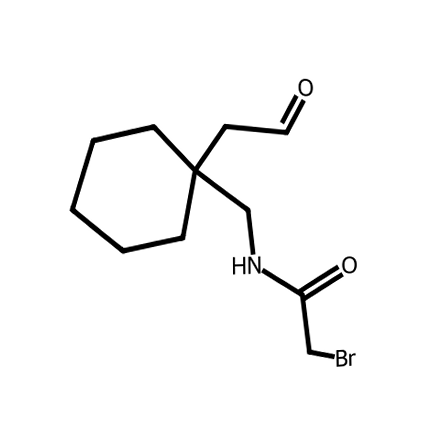 O=CCC1(CNC(=O)CBr)CCCCC1